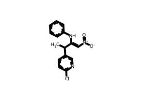 CC(/C(=C/[N+](=O)[O-])Nc1ccccc1)c1ccc(Cl)nc1